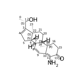 C[C@H](O)C1=CC[C@H]2[C@@H]3C=CC4=C(N)C(=O)CC[C@]4(C)[C@H]3CC[C@]12C